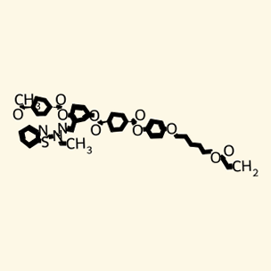 C=CC(=O)OCCCCCCOc1ccc(OC(=O)[C@H]2CC[C@H](C(=O)Oc3ccc(OC(=O)[C@H]4CC[C@H](C(C)=O)CC4)c(/C=N/N(CC)c4nc5ccccc5s4)c3)CC2)cc1